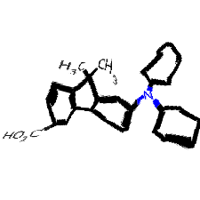 CC1(C)c2ccc(C(=O)O)cc2-c2ccc(N(c3ccccc3)c3ccccc3)cc21